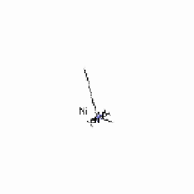 CCCCCCCCCCCCCCCCCCCCCCCCCCCCC(=N\c1ccc(CC)c(CC)c1)/C(CCCCCCCC)=N/c1ccc(CC)c(CC)c1.[Ni]